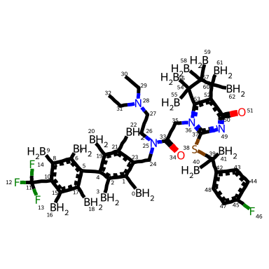 Bc1c(B)c(-c2c(B)c(B)c(C(F)(F)F)c(B)c2B)c(B)c(B)c1CN(CCN(CC)CC)C(=O)Cn1c(SC(B)(B)c2ccc(F)cc2)nc(=O)c2c1C(B)(B)C(B)(B)C2(B)B